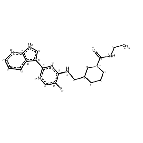 CCNC(=O)N1CCCC(CNc2nc(-c3c[nH]c4ncccc34)ncc2F)C1